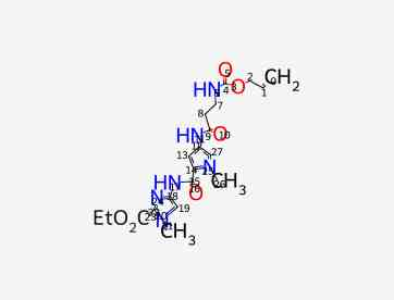 C=CCOC(=O)NCCC(=O)Nc1cc(C(=O)Nc2cn(C)c(C(=O)OCC)n2)n(C)c1